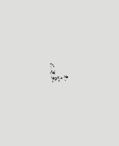 [Ag].[Ca].[Dy].[Mg].[Nd]